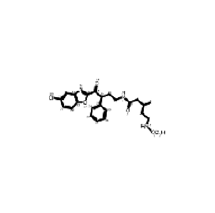 CC(CCNC(=O)O)CC(=O)NCCC(C(=O)c1nc2cc(Cl)ccc2o1)c1ccccc1